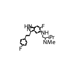 CNC(CNc1cc2c(C=Cc3ccc(F)cc3)n[nH]c2cc1F)C(C)C